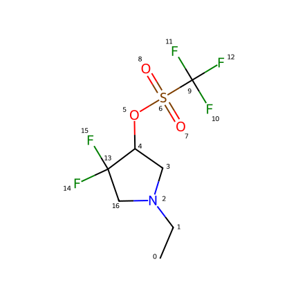 CCN1CC(OS(=O)(=O)C(F)(F)F)C(F)(F)C1